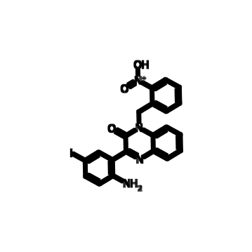 Nc1ccc(I)cc1-c1nc2ccccc2n(Cc2ccccc2[N+](=O)O)c1=O